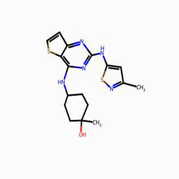 Cc1cc(Nc2nc(NC3CCC(C)(O)CC3)c3sccc3n2)sn1